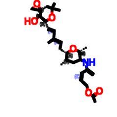 C=C(/C=C\COC(C)=O)NC1C[C@H](C)[C@H](C/C=C(C)/C=C/[C@H]2OC(C)(C)C[C@@]3(CO3)[C@@H]2O)O[C@@H]1C